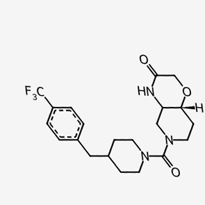 O=C1CO[C@@H]2CCN(C(=O)N3CCC(Cc4ccc(C(F)(F)F)cc4)CC3)CC2N1